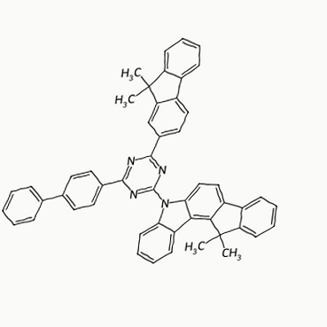 CC1(C)c2ccccc2-c2ccc(-c3nc(-c4ccc(-c5ccccc5)cc4)nc(-n4c5ccccc5c5c6c(ccc54)-c4ccccc4C6(C)C)n3)cc21